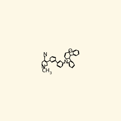 CN1CCC(C#N)=C(C2C=C(c3cccc(N4c5ccccc5C5C6c7ccccc7OC6C=CC54)c3)C=CC2)C1